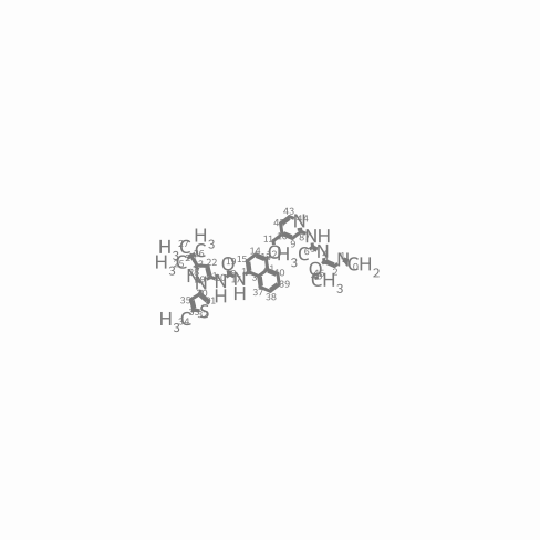 C=N/C=C(\N=C(/C)Nc1cc(COc2ccc(NC(=O)Nc3cc(C(C)(C)C)nn3-c3csc(C)c3)c3ccccc23)ccn1)OC